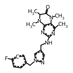 Cc1nc(NCc2cnn(Cc3ccc(F)cc3)c2)nc2c1N(C)C(=O)C(C)N2C